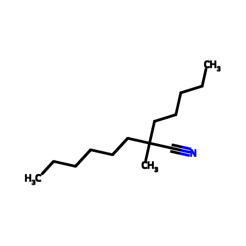 CCCCCCC(C)(C#N)CCCCC